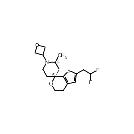 C[C@H]1C[C@@]2(CCN1C1COC1)OCCc1cc(CC(F)F)sc12